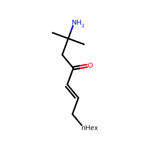 CCCCCCCC=CC(=O)CC(C)(C)N